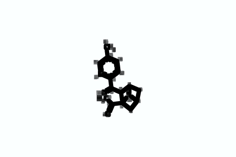 CC(=O)C12CC(CCC1C(=O)c1ccc(C)cn1)N2